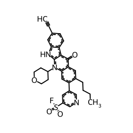 C#Cc1ccc2c(c1)[nH]c1c2c(=O)c2cc(CCCC)c(-c3cncc(S(=O)(=O)F)c3)cc2n1C1CCOCC1